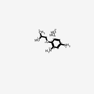 CC(O)COc1ccc(N)cc1N.Cl.Cl